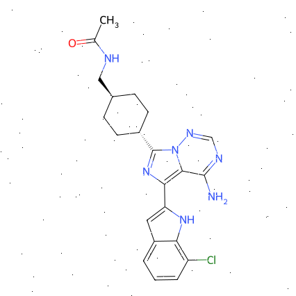 CC(=O)NC[C@H]1CC[C@H](c2nc(-c3cc4cccc(Cl)c4[nH]3)c3c(N)ncnn32)CC1